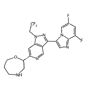 Fc1cc(F)c2ncc(-c3nn(CC(F)(F)F)c4cc(C5CNCCCO5)ncc34)n2c1